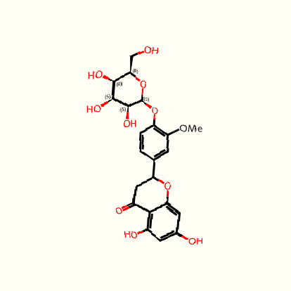 COc1cc(C2CC(=O)c3c(O)cc(O)cc3O2)ccc1O[C@@H]1O[C@H](CO)[C@H](O)[C@H](O)[C@@H]1O